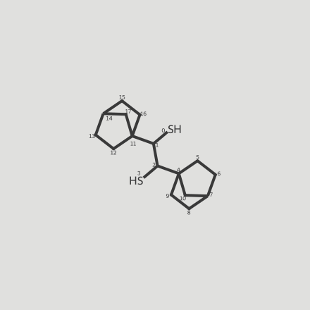 SC(C(S)C12CCC(CC1)C2)C12CCC(CC1)C2